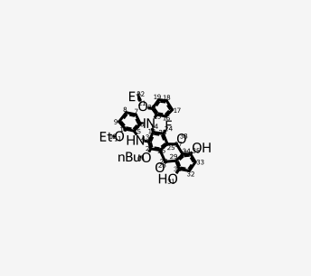 CCCCOc1c(Nc2ccccc2OCC)c(Nc2ccccc2OCC)c(F)c2c1C(=O)c1c(O)ccc(O)c1C2=O